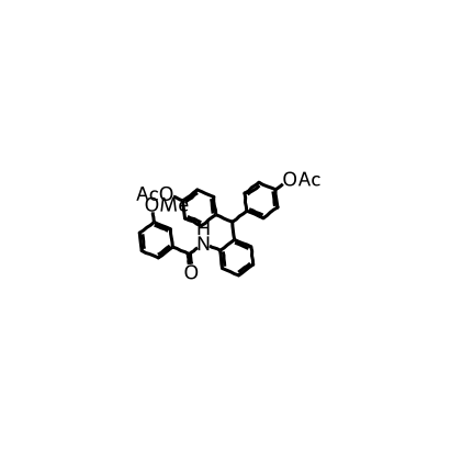 COc1cccc(C(=O)Nc2ccccc2C(c2ccc(OC(C)=O)cc2)c2ccc(OC(C)=O)cc2)c1